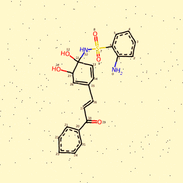 Nc1ccccc1S(=O)(=O)NC1(O)C=CC(C=CC(=O)c2ccccc2)=CC1O